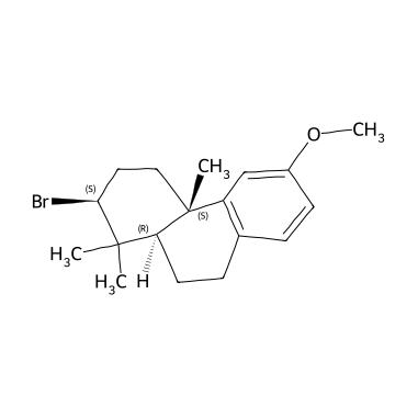 COc1ccc2c(c1)[C@@]1(C)CC[C@H](Br)C(C)(C)[C@@H]1CC2